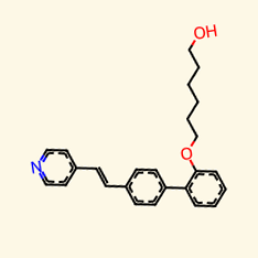 OCCCCCCOc1ccccc1-c1ccc(C=Cc2ccncc2)cc1